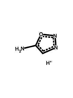 Nc1cnno1.[H+]